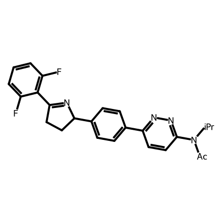 CC(=O)N(c1ccc(-c2ccc(C3CCC(c4c(F)cccc4F)=N3)cc2)nn1)C(C)C